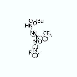 Cc1cccc(F)c1N1CCC(N2Cc3cn(CCNC(=O)OC(C)(C)C)nc3N(Cc3ccccc3C(F)(F)F)C2=O)CC1